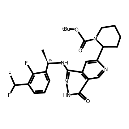 C[C@@H](Nc1n[nH]c(=O)c2cnc(C3CCCCN3C(=O)OC(C)(C)C)cc12)c1cccc(C(F)F)c1F